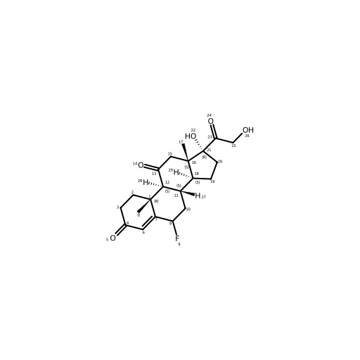 C[C@]12CCC(=O)C=C1C(F)C[C@@H]1[C@@H]2C(=O)C[C@@]2(C)[C@H]1CC[C@]2(O)C(=O)CO